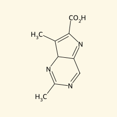 CC1=NC2C(=NC(C(=O)O)=C2C)C=N1